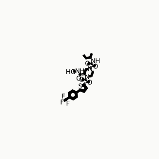 CCC(C)NS(=O)(=O)N1CCN(S(=O)(=O)c2ccc(-c3ccc(C(F)(F)F)cc3)s2)[C@@H](C(=O)NO)C1